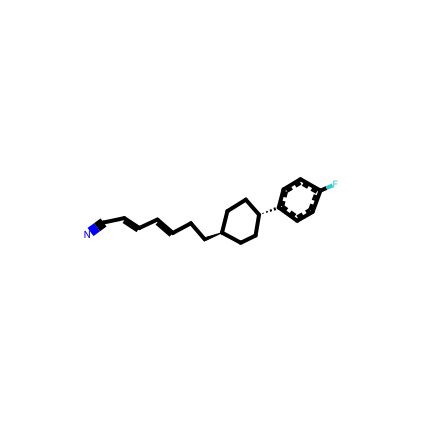 N#C/C=C/C=C/CC[C@H]1CC[C@H](c2ccc(F)cc2)CC1